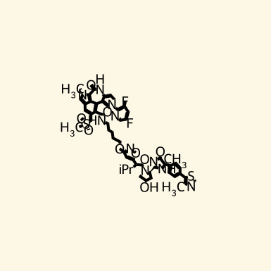 Cc1ncsc1-c1ccc([C@@]2(C)NC([C@H]3C[C@@H](O)CN3C(=O)C(c3cc(OCCCCCNC(=O)c4c(CS(C)(=O)=O)cc5cn(C)c6c5c4C4=CN(c5ncc(F)cc5F)CC=C4NC6=O)no3)C(C)C)=NC2=O)cc1